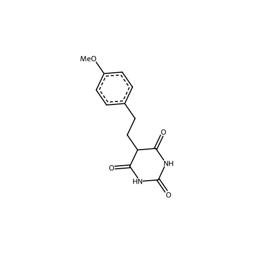 COc1ccc(CCC2C(=O)NC(=O)NC2=O)cc1